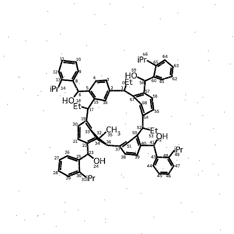 CCC1c2ccc(C(O)c3ccccc3C(C)C)c(c2)C(CC)c2ccc(C(O)c3ccccc3C(C)C)c3c2C(C)C3c2ccc(C(O)c3ccccc3C(C)C)c(c2)C(CC)c2ccc(C(O)c3ccccc3C(C)C)c1c2